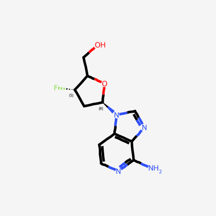 Nc1nccc2c1ncn2[C@H]1C[C@H](F)C(CO)O1